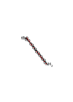 CC(C)(C)OC(=O)CCOCCCCOCCOCCOCCOCCOCCOCCOCCOCCOCCOCCOCCN